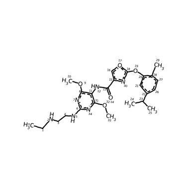 CCNCCNc1nc(OC)c(NC(=O)c2coc(Oc3cc(C(C)C)ccc3C)n2)c(OC)n1